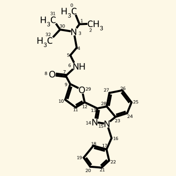 CC(C)N(CCNC(=O)c1ccc(-c2nn(Cc3ccccc3)c3ccccc23)o1)C(C)C